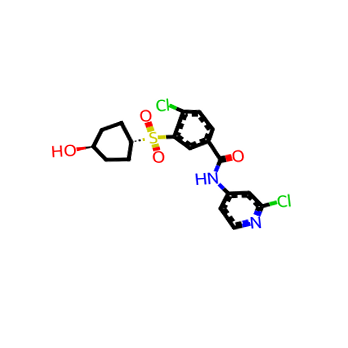 O=C(Nc1ccnc(Cl)c1)c1ccc(Cl)c(S(=O)(=O)[C@H]2CC[C@H](O)CC2)c1